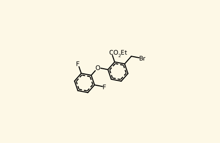 CCOC(=O)c1c(CBr)cccc1Oc1c(F)cccc1F